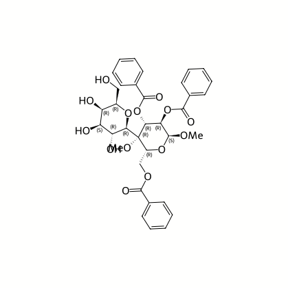 CO[C@H]1O[C@H](COC(=O)c2ccccc2)[C@@](OC)([C@@H]2O[C@H](CO)[C@H](O)[C@H](O)[C@H]2O)[C@H](OC(=O)c2ccccc2)[C@H]1OC(=O)c1ccccc1